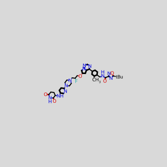 Cc1cc(-c2ncnn3cc(OC[C@@H](F)CN4CCN(c5ccc(NC6CCC(=O)NC6=O)cn5)CC4)cc23)ccc1CNC(=O)c1noc(C(C)(C)C)n1